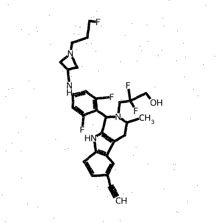 C#Cc1ccc2[nH]c3c(c2c1)CC(C)N(CC(F)(F)CO)C3c1c(F)cc(NC2CN(CCCF)C2)cc1F